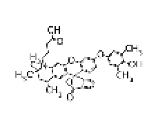 Cc1cc(Oc2ccc3c(c2)Oc2cc4c(cc2C32OC(=O)c3ccccc32)C(C)CC(C)(C)N4CCCC(=O)O)cc(C)c1O